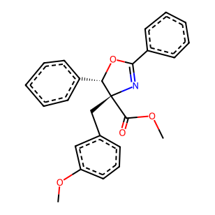 COC(=O)[C@@]1(Cc2cccc(OC)c2)N=C(c2ccccc2)O[C@H]1c1ccccc1